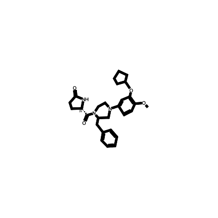 COc1ccc(N2CCN(C(=O)[C@@H]3CCC(=O)N3)C(Cc3ccccc3)C2)cc1OC1CCCC1